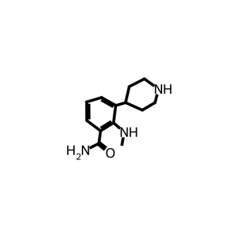 CNc1c(C(N)=O)cccc1C1CCNCC1